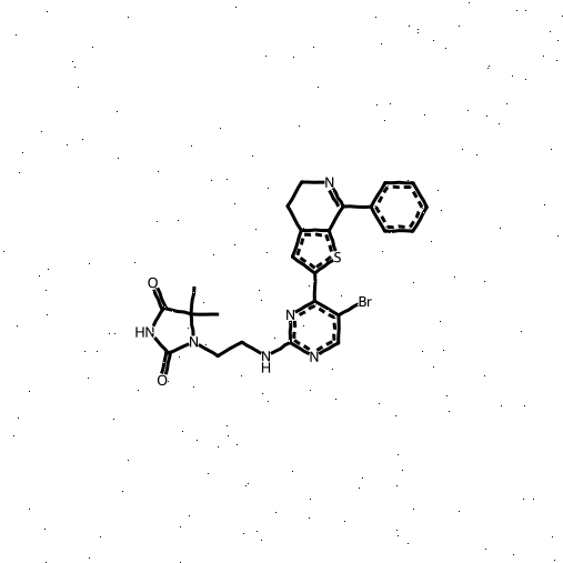 CC1(C)C(=O)NC(=O)N1CCNc1ncc(Br)c(-c2cc3c(s2)C(c2ccccc2)=NCC3)n1